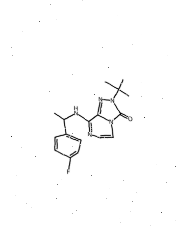 CC(Nc1nccn2c(=O)n(C(C)(C)C)nc12)c1ccc(F)cc1